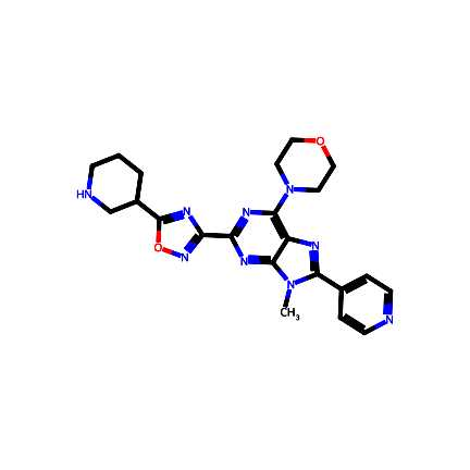 Cn1c(-c2ccncc2)nc2c(N3CCOCC3)nc(-c3noc(C4CCCNC4)n3)nc21